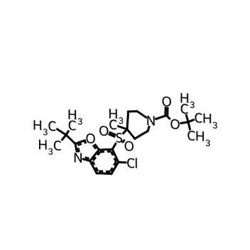 CC(C)(C)OC(=O)N1CCC(C)(S(=O)(=O)c2c(Cl)ccc3nc(C(C)(C)C)oc23)CC1